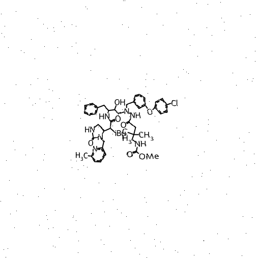 CCC(C)C(C(=O)NC(Cc1ccccc1)C(O)CN(Cc1cccc(Oc2ccc(Cl)cc2)c1)NC(=O)CC(C)(C)CNC(=O)OC)C1CNC(=O)N1Cc1cccc(C)n1